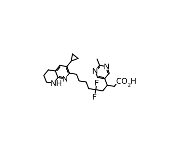 Cc1ncc(C(CC(=O)O)CC(F)(F)CCCCc2nc3c(cc2C2CC2)CCCN3)cn1